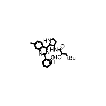 Cc1ccc2c(C3NCCC3NC(=O)[C@H](O)CC(C)(C)C)nc(-c3ccccc3O)nc2c1